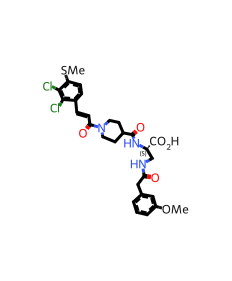 COc1cccc(CC(=O)NC[C@H](NC(=O)C2CCN(C(=O)C=Cc3ccc(SC)c(Cl)c3Cl)CC2)C(=O)O)c1